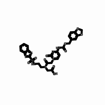 O=C(O)CN(CCNS(=O)(=O)c1nc2ccccc2s1)C(=O)Cn1ccc(NC(=O)OCc2ccc3c(c2)OCO3)nc1=O